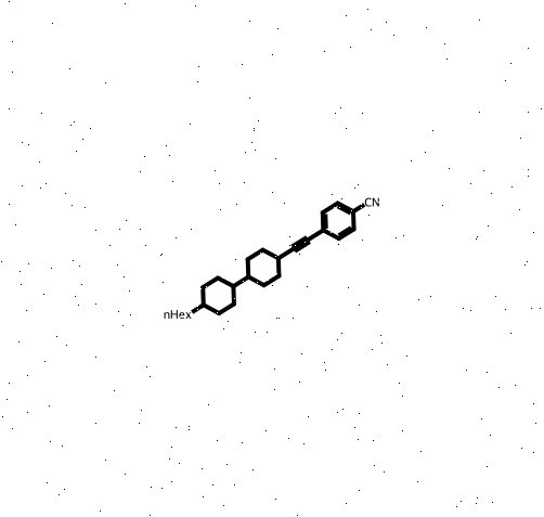 CCCCCCC1CCC(C2CCC(C#Cc3ccc(C#N)cc3)CC2)CC1